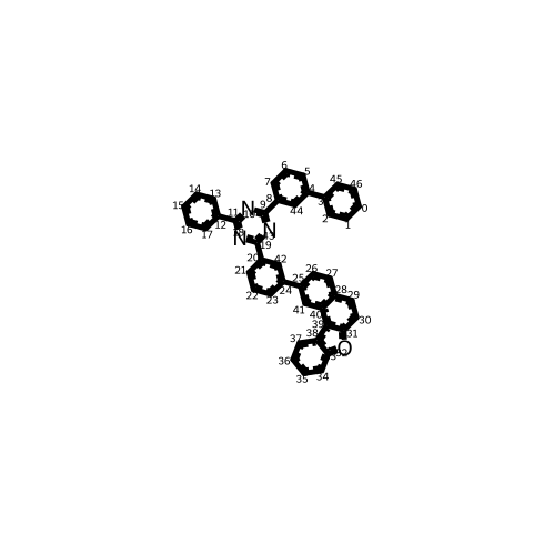 c1ccc(-c2cccc(-c3nc(-c4ccccc4)nc(-c4cccc(-c5ccc6ccc7oc8ccccc8c7c6c5)c4)n3)c2)cc1